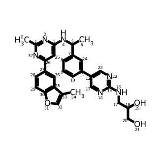 Cc1nc(NC(C)c2cccc(-c3cnc(NCC(O)CO)nc3)c2)cc(-c2ccc3occ(C)c3c2)n1